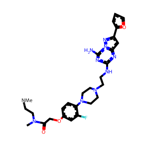 CNCCN(C)C(=O)COc1ccc(N2CCN(CCNc3nc(N)n4nc(-c5ccco5)cc4n3)CC2)c(F)c1